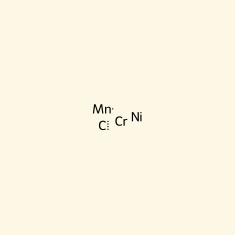 [C].[Cr].[Mn].[Ni]